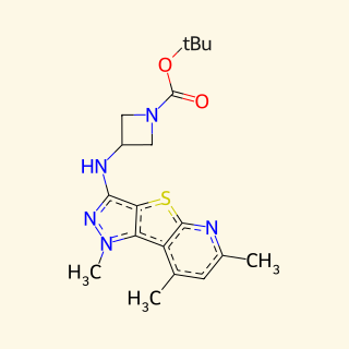 Cc1cc(C)c2c(n1)sc1c(NC3CN(C(=O)OC(C)(C)C)C3)nn(C)c12